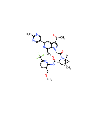 COCc1ccc(C(F)(F)F)nc1NC(=O)[C@@H]1C[C@@]2(C)C[C@H]2N1C(=O)Cn1cc(C(C)=O)c2cc(-c3cnc(C)nc3)nc(C)c21